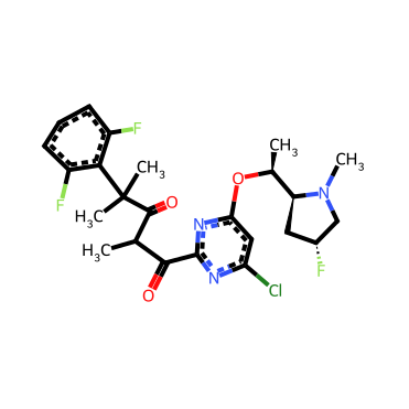 CC(C(=O)c1nc(Cl)cc(O[C@@H](C)[C@@H]2C[C@@H](F)CN2C)n1)C(=O)C(C)(C)c1c(F)cccc1F